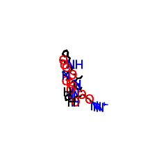 CC[C@H](C)[C@@H]([C@@H](CC(=O)N1CCC[C@H]1[C@H](OC)[C@@H](C)C(=O)NC(Cc1ccccc1)C(=O)OC)OC)N(C)C(=O)[C@@H](NC(=O)[C@@H]1[C@H]2CC[C@H](C2)N1C(=O)CCOCCOCCN=[N+]=[N-])C(C)C